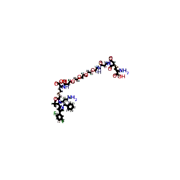 CC(C)(C)[C@H](c1cc(-c2cc(F)ccc2F)cn1Cc1ccccc1)N(CCCN)C(=O)CSCC[C@@H](NC(=O)CCOCCOCCOCCOCCNC(=O)CCN1C(=O)C[C@@H](SC[C@H](N)C(=O)O)C1=O)C(=O)O